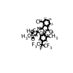 Cc1cc(C(F)(C(F)(F)F)C(F)(F)F)ccc1N1C(=O)c2cccc(Cl)c2C1=NC(C)(C)CS(C)(=O)=O